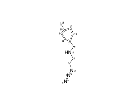 [N-]=[N+]=NCCNCc1ccc(I)cc1